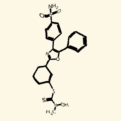 CN(O)C(=S)SC1CCCC(c2nc(-c3ccc(S(N)(=O)=O)cc3)c(-c3ccccc3)o2)C1